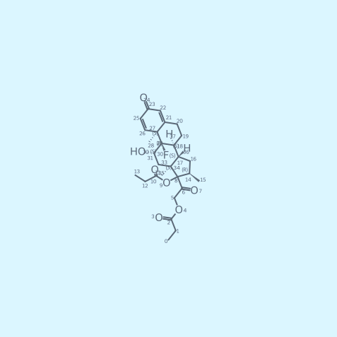 CCC(=O)OCC(=O)C1(OC(=O)CC)[C@H](C)C[C@H]2[C@@H]3CCC4=CC(=O)C=C[C@]4(C)[C@@]3(F)[C@@H](O)C[C@@]21C